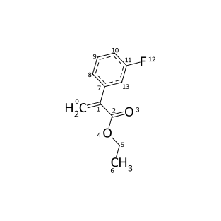 C=C(C(=O)OCC)c1cccc(F)c1